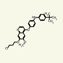 COc1cc2c(Oc3ccc(Nc4ccc(C(C)(C)C)cc4)cc3)ccnc2cc1OCCCCl